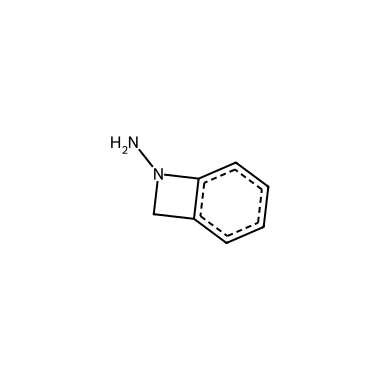 NN1Cc2ccccc21